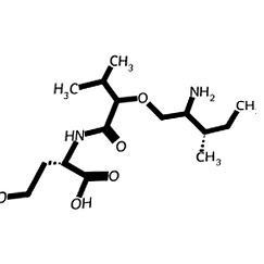 CC[C@H](C)C(N)COC(C(=O)N[C@@H](CCO)C(=O)O)C(C)C